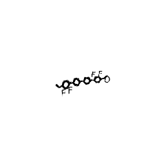 C=Cc1ccc(-c2ccc(-c3ccc(-c4ccc(C5CO5)c(F)c4F)cc3)cc2)c(F)c1F